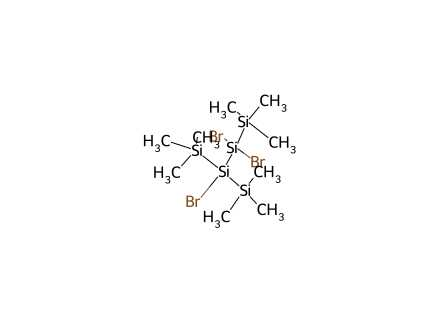 C[Si](C)(C)[Si](Br)(Br)[Si](Br)([Si](C)(C)C)[Si](C)(C)C